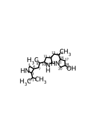 CC(C)C1NCC1CC(C)C1CC(CC(C)C2CC(O)CN2)CN1